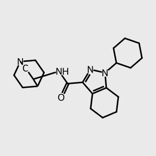 O=C(NC1CN2CCC1CC2)c1nn(C2CCCCC2)c2c1CCCC2